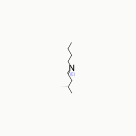 CCCC/N=C/CC(C)C